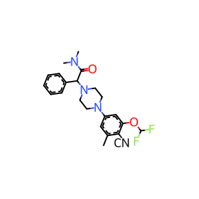 Cc1cc(N2CCN(C(C(=O)N(C)C)c3ccccc3)CC2)cc(OC(F)F)c1C#N